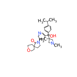 CC(C)c1ccc([C@](O)(c2cncc(N3CCC4(CCOCC4)C3=O)c2)C2(C)CN(C)C2)cc1